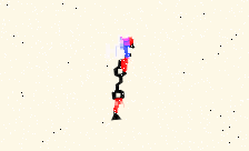 Cc1conc1NC(C)c1cc2ccc(CCc3ccc(OCC4CC4)cc3)cc2o1